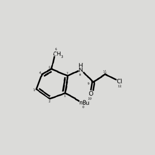 CCCCc1cccc(C)c1NC(=O)CCl